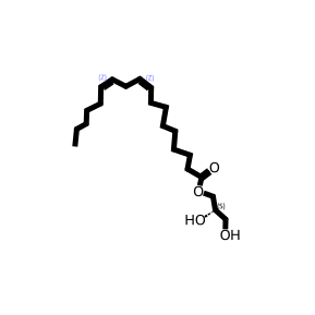 CCCCC/C=C\C/C=C\CCCCCCCC(=O)OC[C@@H](O)CO